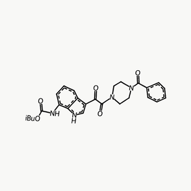 CC(C)COC(=O)Nc1cccc2c(C(=O)C(=O)N3CCN(C(=O)c4ccccc4)CC3)c[nH]c12